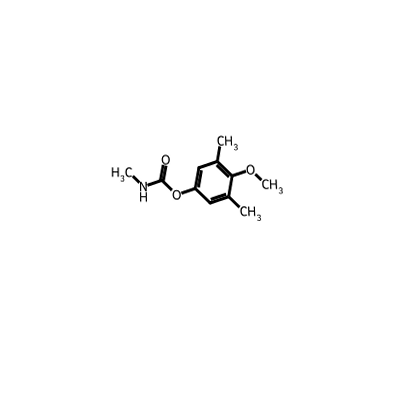 CNC(=O)Oc1cc(C)c(OC)c(C)c1